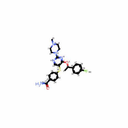 CC(Oc1nc(N2CCN(C)CC2)ncc1Sc1ccc(C(N)=O)cc1)c1ccc(F)cc1